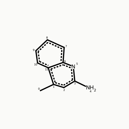 Cc1cc(N)nc2ccccc12